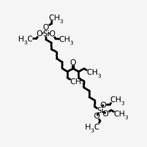 CCO[Si](CCCCCCCC(CC)C(=O)C(CC)CCCCCCC[Si](OCC)(OCC)OCC)(OCC)OCC